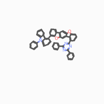 c1ccc(-c2nc(-c3ccccc3)nc(-c3cccc4oc5cc6c(cc5c34)oc3c(-c4cccc5c4c4ccccc4n5-c4ccccc4)cccc36)n2)cc1